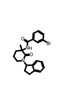 CC1(NC(=O)c2cccc(Br)c2)CCCN(C2CCc3ccccc32)C1=O